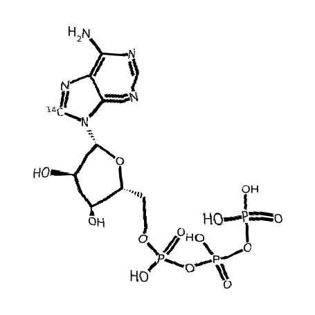 Nc1ncnc2c1n[14cH]n2[C@@H]1O[C@H](COP(=O)(O)OP(=O)(O)OP(=O)(O)O)[C@@H](O)[C@H]1O